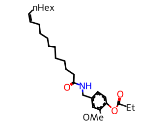 CCCCCC/C=C\CCCCCCCCCC(=O)NCc1ccc(OC(=O)CC)c(OC)c1